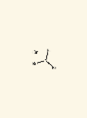 Br.BrN(Br)Br